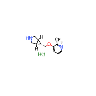 Cl.FC(F)(F)c1ncccc1OC[C@@H]1[C@@H]2CNC[C@@H]21